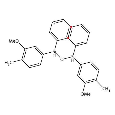 COc1cc([SiH](O[SiH](c2ccccc2)c2ccc(C)c(OC)c2)c2ccccc2)ccc1C